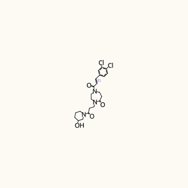 O=C(/C=C/c1ccc(Cl)c(Cl)c1)N1CCC(=O)N(CCC(=O)N2CCCC(O)C2)CC1